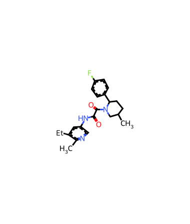 CCc1cc(NC(=O)C(=O)N2CC(C)CCC2c2ccc(F)cc2)cnc1C